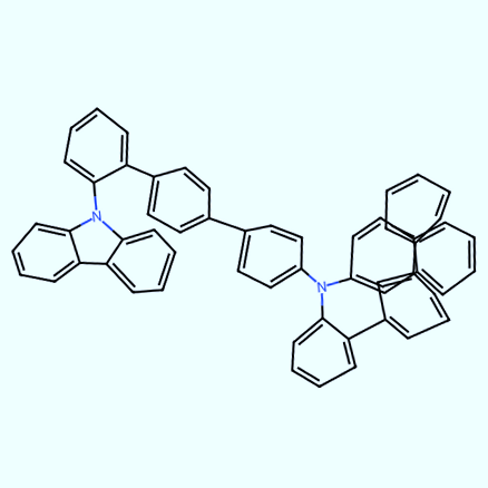 c1ccc(-c2cccc(-c3ccccc3N(c3ccc(-c4ccc(-c5ccccc5-n5c6ccccc6c6ccccc65)cc4)cc3)c3ccc4ccccc4c3)c2)cc1